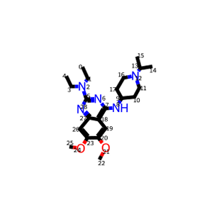 CCN(CC)c1nc(NC2CCN(C(C)C)CC2)c2cc(OC)c(OC)cc2n1